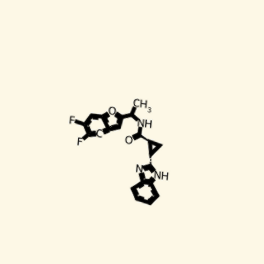 CC(NC(=O)[C@H]1C[C@@H]1c1nc2ccccc2[nH]1)c1cc2cc(F)c(F)cc2o1